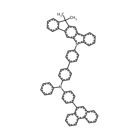 CC1(C)c2ccccc2-c2cc3c(cc21)c1ccccc1n3-c1ccc(-c2ccc(N(c3ccccc3)c3ccc(-c4cc5ccccc5c5ccccc45)cc3)cc2)cc1